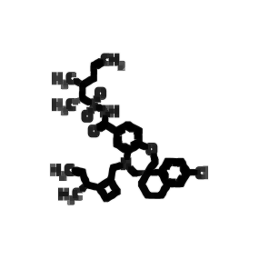 C=CC[C@H](C)[C@@H](C)S(=O)(=O)NC(=O)c1ccc2c(c1)N(CC1CCC1[C@@H](C)C=C)C[C@@]1(CCCc3cc(Cl)ccc31)CO2